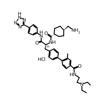 CCN(CC)CCNC(=O)c1ccc(-c2ccc(C[C@H](NC(=O)[C@H]3CC[C@H](CN)CC3)C(=O)Nc3ccc(-c4nn[nH]n4)cc3)cc2)c(C)c1.Cl